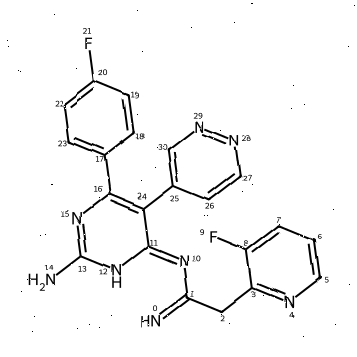 N=C(Cc1ncccc1F)/N=c1\[nH]c(N)nc(-c2ccc(F)cc2)c1-c1ccnnc1